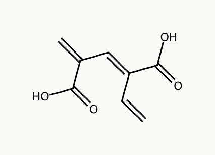 C=CC(=CC(=C)C(=O)O)C(=O)O